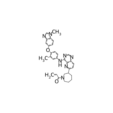 C=CC(=O)N1CCCCC(c2ccc3ncnc(Nc4ccc(Oc5ccc6c(c5)ncn6C)c(C)c4)c3n2)C1